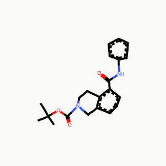 CC(C)(C)OC(=O)N1CCc2c(cccc2C(=O)Nc2ccccc2)C1